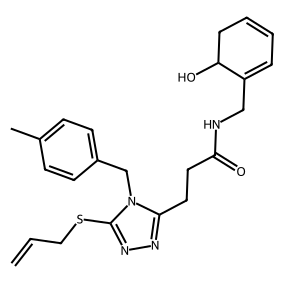 C=CCSc1nnc(CCC(=O)NCC2=CC=CCC2O)n1Cc1ccc(C)cc1